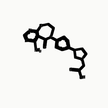 Nc1ncnc2c1C(=O)N(c1ccc(C3CCN(CC(=O)O)C3)cc1)CCO2